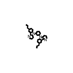 C=CCc1ccc2c(c1)c1ncccc1n2-c1cccc(-n2c3ccc(CC=C)cc3c3ncccc32)c1